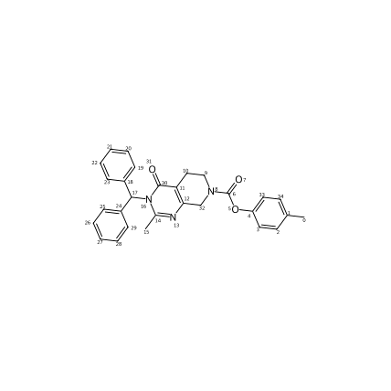 Cc1ccc(OC(=O)N2CCc3c(nc(C)n(C(c4ccccc4)c4ccccc4)c3=O)C2)cc1